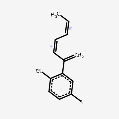 C=C(/C=C\C=C/C)c1cc(I)ccc1CC